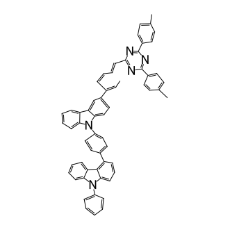 C\C=C(/C=C\C=C\c1nc(-c2ccc(C)cc2)nc(-c2ccc(C)cc2)n1)c1ccc2c(c1)c1ccccc1n2-c1ccc(-c2cccc3c2c2ccccc2n3-c2ccccc2)cc1